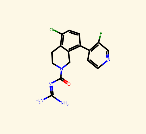 NC(N)=NC(=O)N1CCc2c(Cl)ccc(-c3ccncc3F)c2C1